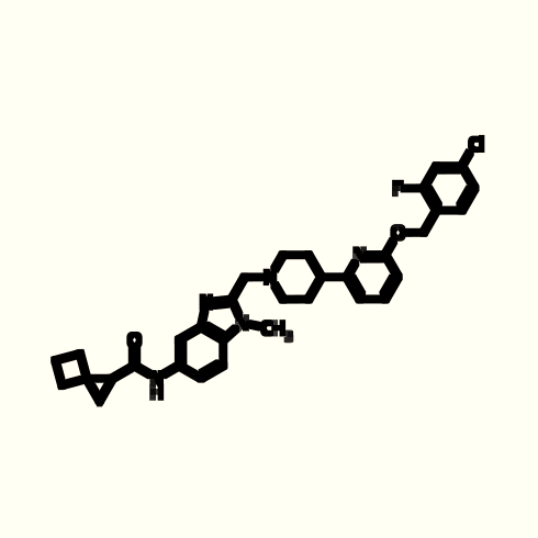 Cn1c(CN2CCC(c3cccc(OCc4ccc(Cl)cc4F)n3)CC2)nc2cc(NC(=O)C3CC34CCC4)ccc21